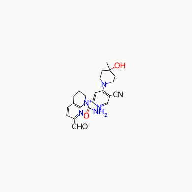 CC1(O)CCN(c2cc([N+]3(C(N)=O)CCCc4ccc(C=O)nc43)ncc2C#N)CC1